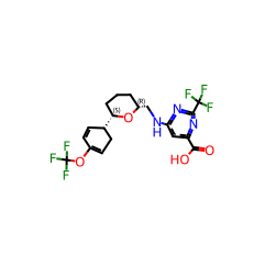 O=C(O)c1cc(NC[C@H]2CCC[C@@H](C3C=CC(OC(F)(F)F)=CC3)O2)nc(C(F)(F)F)n1